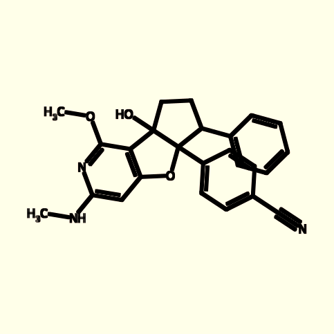 CNc1cc2c(c(OC)n1)C1(O)CCC(c3ccccc3)C1(c1ccc(C#N)cc1)O2